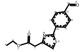 CCOC(=O)Cc1csc(-c2ccc(C=O)cc2)n1